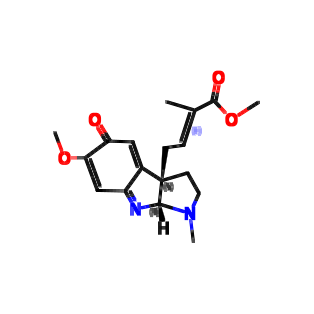 COC(=O)/C(C)=C/C[C@@]12CCN(C)[C@@H]1N=C1C=C(OC)C(=O)C=C12